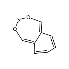 c1ccc2cosocc2c1